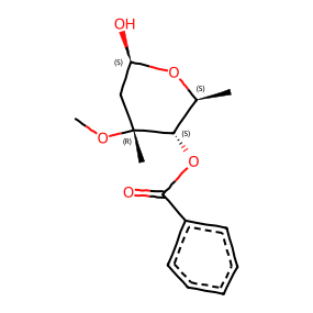 CO[C@]1(C)C[C@@H](O)O[C@@H](C)[C@@H]1OC(=O)c1ccccc1